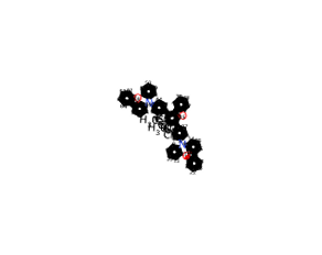 C[Si]1(C)c2cc(N(c3ccccc3)c3cccc4c3oc3ccccc34)ccc2-c2c1c1c(c3c2oc2ccccc23)-c2ccc(N(c3ccccc3)c3cccc4c3oc3ccccc34)cc2[Si]1(C)C